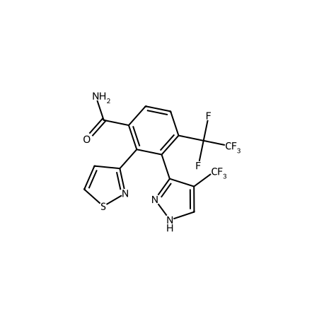 NC(=O)c1ccc(C(F)(F)C(F)(F)F)c(-c2n[nH]cc2C(F)(F)F)c1-c1ccsn1